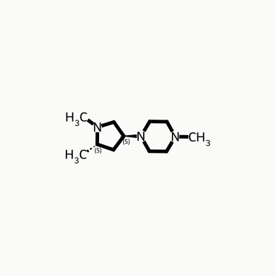 C[C@H]1C[C@H](N2CCN(C)CC2)CN1C